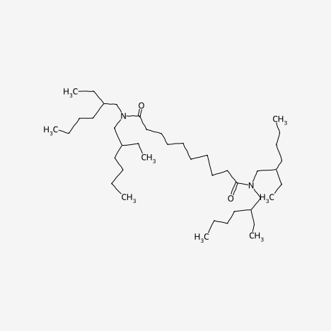 CCCCC(CC)CN(CC(CC)CCCC)C(=O)CCCCCCCCC(=O)N(CC(CC)CCCC)CC(CC)CCCC